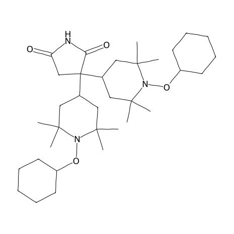 CC1(C)CC(C2(C3CC(C)(C)N(OC4CCCCC4)C(C)(C)C3)CC(=O)NC2=O)CC(C)(C)N1OC1CCCCC1